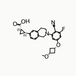 CO[C@H]1C[C@H](Oc2cc(F)c(C#N)c(N3CCc4cc([C@H]5C[C@@H]5C(=O)O)ccc4C3)c2)C1